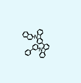 c1ccc(-c2cccc(-n3c4ccccc4c4cccc(-c5ccc6c(c5)c5ccccc5n6-c5ccc6ccccc6c5)c43)c2)cc1